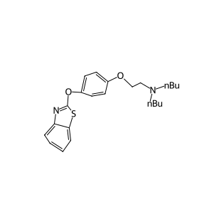 CCCCN(CCCC)CCOc1ccc(Oc2nc3ccccc3s2)cc1